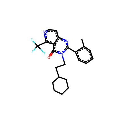 Cc1ccccc1-c1nc2ccnc(C(F)(F)F)c2c(=O)n1CCC1CCCCC1